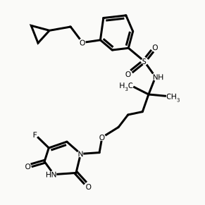 CC(C)(CCCOCn1cc(F)c(=O)[nH]c1=O)NS(=O)(=O)c1cccc(OCC2CC2)c1